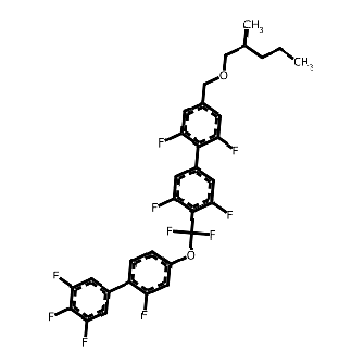 CCCC(C)COCc1cc(F)c(-c2cc(F)c(C(F)(F)Oc3ccc(-c4cc(F)c(F)c(F)c4)c(F)c3)c(F)c2)c(F)c1